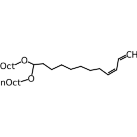 C=C/C=C\CCCCCCCC(OCCCCCCCC)OCCCCCCCC